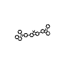 CC1(C)c2cc(-c3ccc(N(c4ccccc4)c4cccc5ccccc45)cc3)ccc2-c2ccc(-c3ccc4c(c3)c3c(n4-c4ccccc4)CCC=C3)cc21